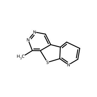 Cc1nncc2c1sc1ncccc12